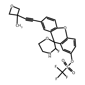 CC1(C#Cc2ccc3c(c2)C2(OCCNC2F)c2cc(OS(=O)(=O)C(F)(F)F)ccc2O3)COC1